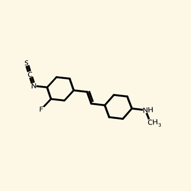 CNC1CCC(C=CC2CCC(N=C=S)C(F)C2)CC1